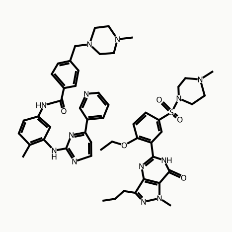 CCCc1nn(C)c2c(=O)[nH]c(-c3cc(S(=O)(=O)N4CCN(C)CC4)ccc3OCC)nc12.Cc1ccc(NC(=O)c2ccc(CN3CCN(C)CC3)cc2)cc1Nc1nccc(-c2cccnc2)n1